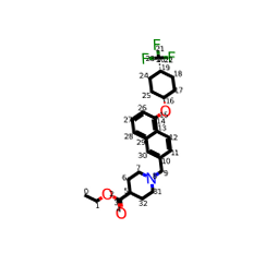 CCOC(=O)C1CCN(Cc2ccc3c(O[C@H]4CC[C@@H](C(F)(F)F)CC4)cccc3c2)CC1